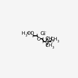 CC[N+](C)(C)CCOCCOC.[Cl-]